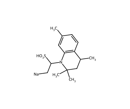 Cc1ccc2c(c1)N(C([CH2][Na])S(=O)(=O)O)C(C)(C)CC2C